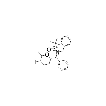 CC1OC(C(c2ccccc2)N(Cc2ccccc2)[S+]([O-])C(C)(C)C)CCC1I